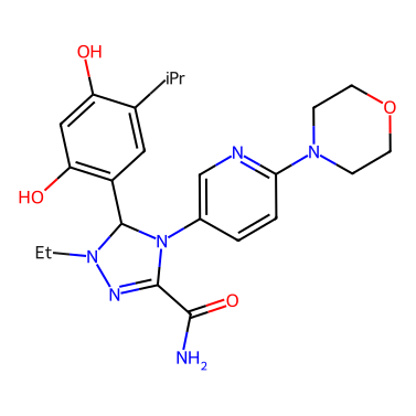 CCN1N=C(C(N)=O)N(c2ccc(N3CCOCC3)nc2)C1c1cc(C(C)C)c(O)cc1O